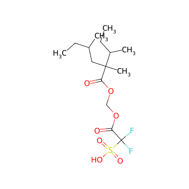 CCC(C)CC(C)(C(=O)OCOC(=O)C(F)(F)S(=O)(=O)O)C(C)CC